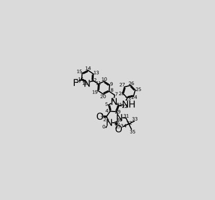 Cn1c(=O)c2cn(Cc3ccc(-c4cccc(F)n4)cc3)c(Nc3ccccc3)c2n(CC(C)(C)C)c1=O